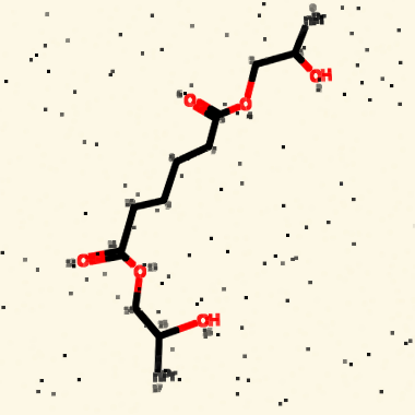 CCCC(O)COC(=O)CCCCC(=O)OCC(O)CCC